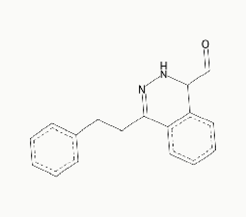 O=CC1NN=C(CCc2ccccc2)c2ccccc21